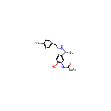 CCCCc1ccc(CCNC(CCCC)c2ccc(O)c(NC(=O)NC)c2)cc1